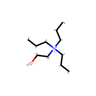 CCC[N+](CCC)(CCC)CC[O]